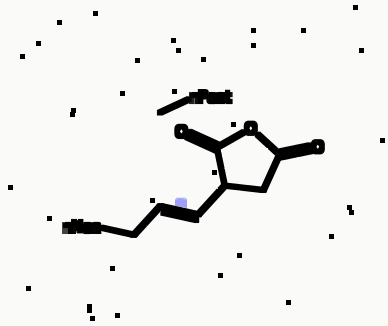 CCCCCC.CCCCCCCCCC/C=C/C1CC(=O)OC1=O